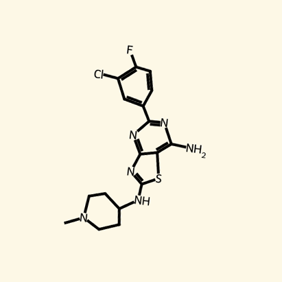 CN1CCC(Nc2nc3nc(-c4ccc(F)c(Cl)c4)nc(N)c3s2)CC1